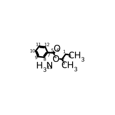 CCC(C)OC(=O)c1ccccc1.N